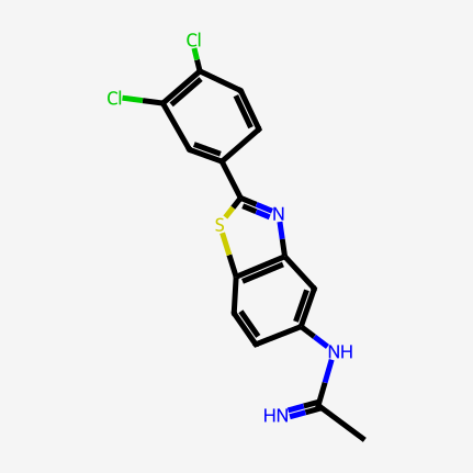 CC(=N)Nc1ccc2sc(-c3ccc(Cl)c(Cl)c3)nc2c1